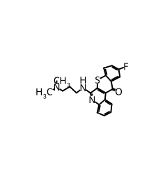 CN(C)CCCNc1nc2ccccc2c2c(=O)c3cc(F)ccc3sc12